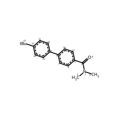 CN(C)C(=O)c1ccc(-c2ccc(C(C)(C)C)cc2)cc1